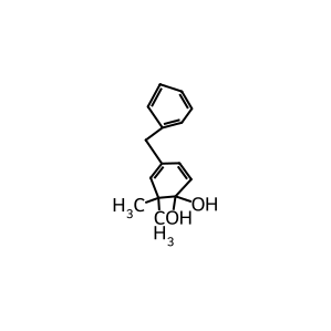 CC1(C)C=C(Cc2ccccc2)C=CC1(O)O